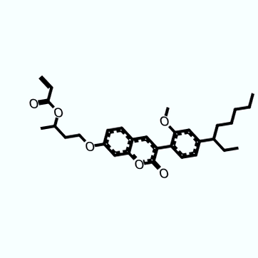 C=CC(=O)OC(C)CCOc1ccc2cc(-c3ccc(C(CC)CCCCC)cc3OC)c(=O)oc2c1